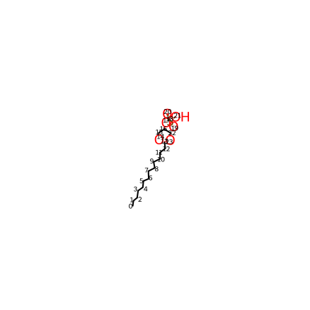 CCCCCCCCCCCCCC1OCC(OS(=O)(=O)O)CO1